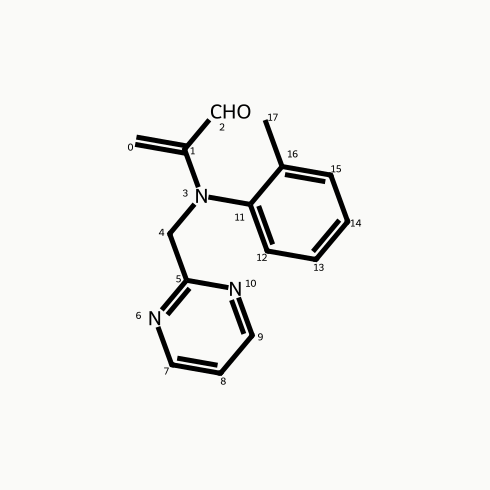 C=C(C=O)N(Cc1ncccn1)c1ccccc1C